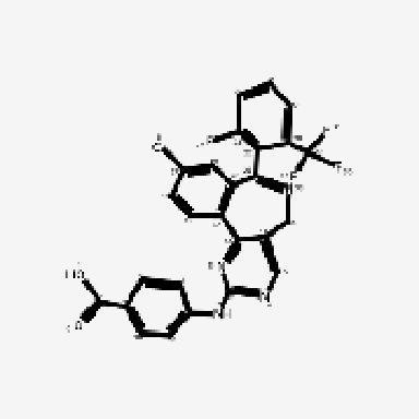 O=C(O)c1ccc(Nc2ncc3c(n2)-c2ccc(Cl)cc2C(c2c(F)cccc2C(F)(F)F)=NC3)cc1